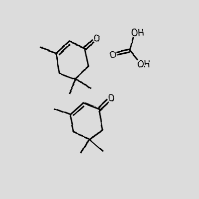 CC1=CC(=O)CC(C)(C)C1.CC1=CC(=O)CC(C)(C)C1.O=C(O)O